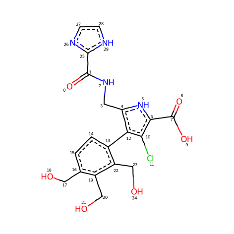 O=C(NCc1[nH]c(C(=O)O)c(Cl)c1-c1ccc(CO)c(CO)c1CO)c1ncc[nH]1